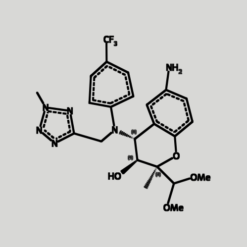 COC(OC)[C@]1(C)Oc2ccc(N)cc2[C@@H](N(Cc2nnn(C)n2)c2ccc(C(F)(F)F)cc2)[C@@H]1O